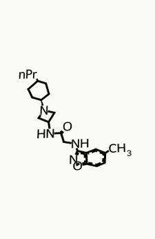 CCC[C@H]1CC[C@@H](N2CC(NC(=O)CNc3noc4ccc(C)cc34)C2)CC1